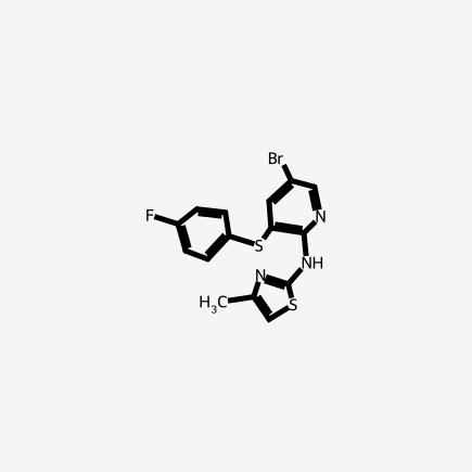 Cc1csc(Nc2ncc(Br)cc2Sc2ccc(F)cc2)n1